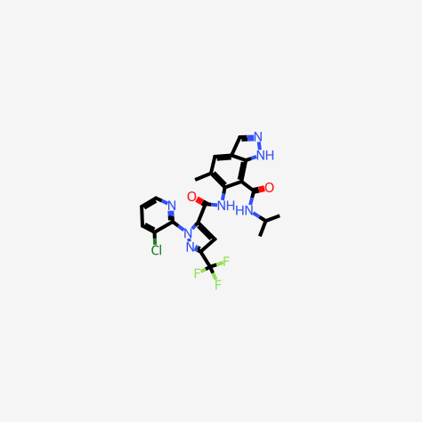 Cc1cc2cn[nH]c2c(C(=O)NC(C)C)c1NC(=O)c1cc(C(F)(F)F)nn1-c1ncccc1Cl